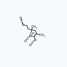 CC(CC(C)(C)CCN=C=O)C(N=C=O)N=C=O